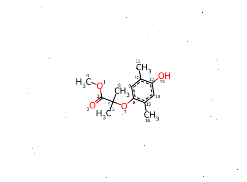 COC(=O)C(C)(C)Oc1cc(C)c(O)cc1C